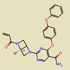 C=CC(=O)N1CC2[C@H]1CN2c1ncc(C(N)=O)c(Oc2ccc(Oc3ccccc3)cc2)n1